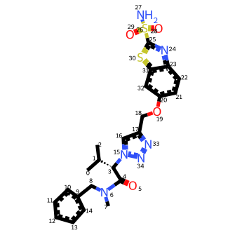 CC(C)[C@@H](C(=O)N(C)Cc1ccccc1)n1cc(COc2ccc3nc(S(N)(=O)=O)sc3c2)nn1